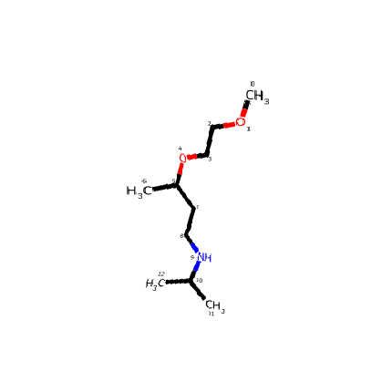 COCCOC(C)CCNC(C)C